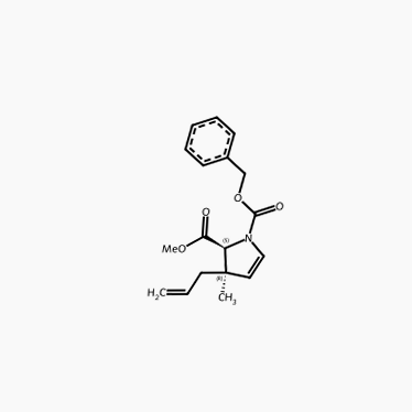 C=CC[C@]1(C)C=CN(C(=O)OCc2ccccc2)[C@@H]1C(=O)OC